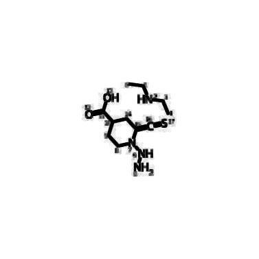 CCNCC.NNN1CCC(C(=O)O)CC1=C=S